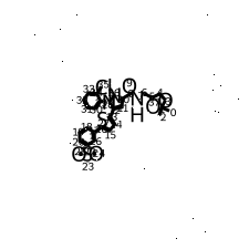 CC1(C)OCC(CNC(=O)c2cc(-c3ccc(-c4cccc(S(C)(=O)=O)c4)s3)n(-c3ccccc3Cl)n2)O1